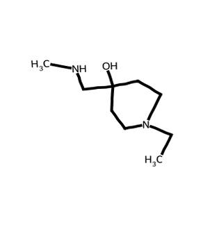 CCN1CCC(O)(CNC)CC1